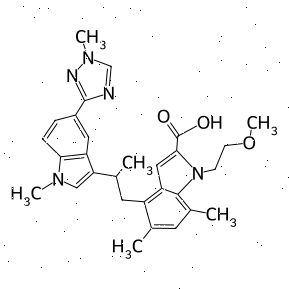 COCCn1c(C(=O)O)cc2c(CC(C)c3cn(C)c4ccc(-c5ncn(C)n5)cc34)c(C)cc(C)c21